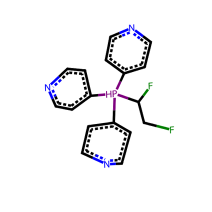 FCC(F)[PH](c1ccncc1)(c1ccncc1)c1ccncc1